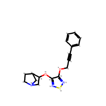 C(#Cc1ccccc1)COc1nsnc1OC1CN2CCC1C2